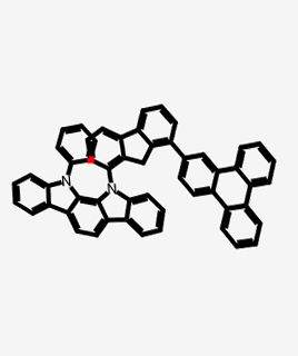 c1ccc(-n2c3ccccc3c3ccc4c5ccccc5n(-c5cccc6c5Cc5c(-c7ccc8c9ccccc9c9ccccc9c8c7)cccc5-6)c4c32)cc1